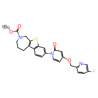 CC(C)(C)OC(=O)N1CCCc2c(sc3cc(-n4ccc(OCc5ccc(F)cn5)cc4=O)ccc23)C1